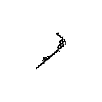 CCCCCCCOC[C@H](COCCCCCCCCO[C@H]1CCC2(C)C(=CC[C@@H]3[C@@H]2CC[C@]2(C)[C@@H]([C@H](C)CCCC(C)C)CC[C@@H]32)C1)N(C)C